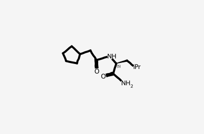 CC(C)C[C@H](NC(=O)CC1CCCC1)C(N)=O